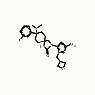 CN(C)[C@]1(c2cccc(F)c2)CC[C@@]2(CC1)CN(c1cc(C(F)(F)F)nn1CC1COC1)C(=O)N2